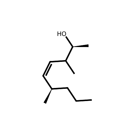 CCC[C@@H](C)/C=C\C(C)[C@H](C)O